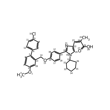 COc1ccc(-c2ccc(Cl)cc2)c(COc2ccc(-c3nc(C=C(C)C(=O)O)cn3C3CCCCC3)cc2)c1